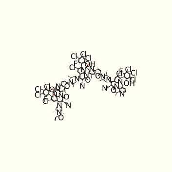 C=CC(=O)N1[C@H](C)CN(c2c(C#N)c(=O)n(-c3c(C)cc(/C=C\C(=O)N4[C@H](C)CN(c5c(C#N)c(=O)n(-c6c(C)cc(/C=C\C(=O)N7[C@H](C)CN(c8c(C#N)c(=O)n(-c9c(C)ccnc9C(C)C)c9nc(-c%10c(O)c(Cl)c(Cl)c(Cl)c%10F)c(Cl)cc89)C[C@@H]7C)nc6C(C)C)c6nc(-c7c(O)c(Cl)c(Cl)c(Cl)c7F)c(Cl)cc56)C[C@@H]4C)nc3C(C)C)c3nc(-c4c(O)c(Cl)c(Cl)c(Cl)c4F)c(Cl)cc23)C[C@@H]1C